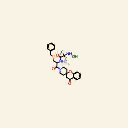 CC(C)(N)C(=O)NC(COCc1ccccc1)C(=O)N1CCC2(CC1)CC(=O)c1ccccc1O2.Cl